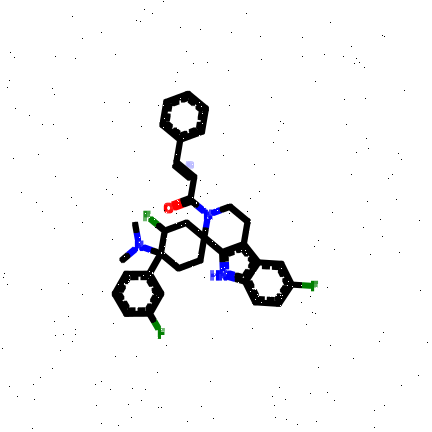 CN(C)C1(c2cccc(F)c2)CCC2(CC1F)c1[nH]c3ccc(F)cc3c1CCN2C(=O)/C=C/c1ccccc1